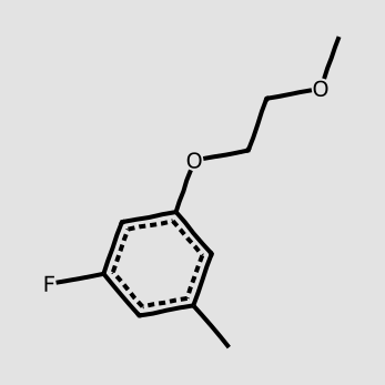 COCCOc1cc(C)cc(F)c1